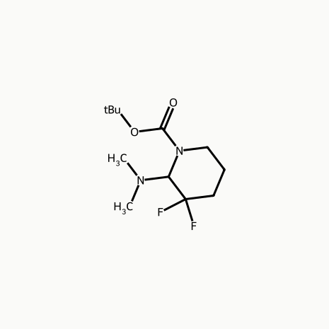 CN(C)C1N(C(=O)OC(C)(C)C)CCCC1(F)F